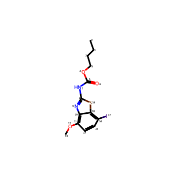 CCCCOC(=O)Nc1nc2c(OC)ccc(I)c2s1